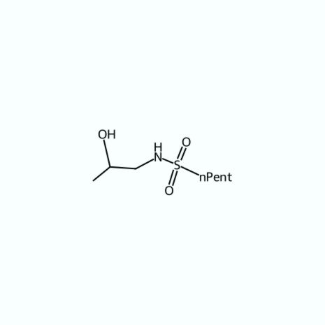 CCCCCS(=O)(=O)NCC(C)O